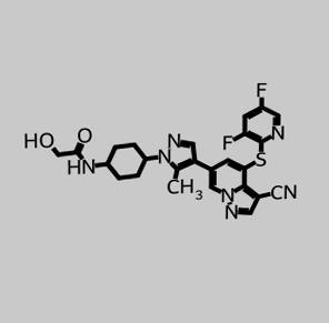 Cc1c(-c2cc(Sc3ncc(F)cc3F)c3c(C#N)cnn3c2)cnn1C1CCC(NC(=O)CO)CC1